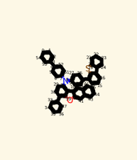 c1ccc(-c2ccc(N(c3ccc(-c4cccc5c4sc4ccccc45)cc3)c3ccc(-c4ccccc4)c4oc5cc6ccccc6cc5c34)cc2)cc1